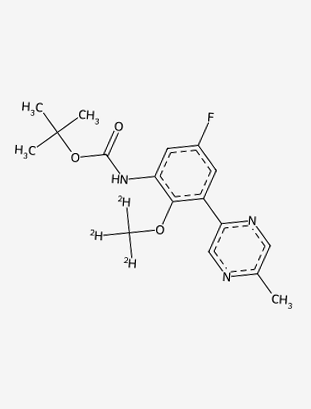 [2H]C([2H])([2H])Oc1c(NC(=O)OC(C)(C)C)cc(F)cc1-c1cnc(C)cn1